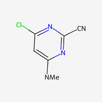 CNc1cc(Cl)nc(C#N)n1